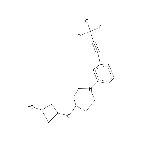 OC1CC(OC2CCN(c3ccnc(C#CC(O)(F)F)c3)CC2)C1